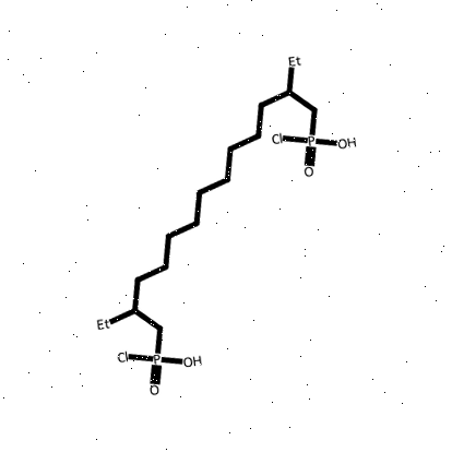 CCC(CCCCCCCCCC(CC)CP(=O)(O)Cl)CP(=O)(O)Cl